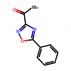 CC(C)(C)C(=O)c1noc(-c2ccccc2)n1